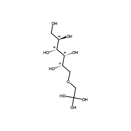 OC[C@@H](O)[C@@H](O)[C@H](O)[C@@H](O)COCC(O)(O)O